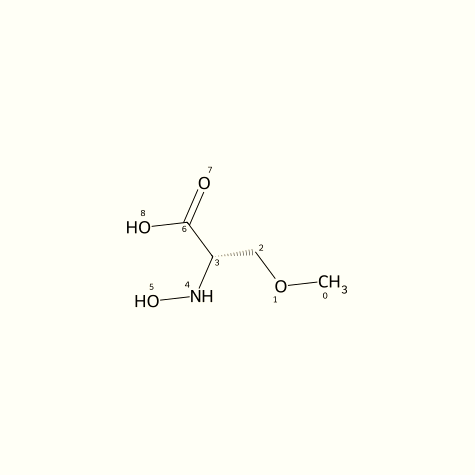 COC[C@H](NO)C(=O)O